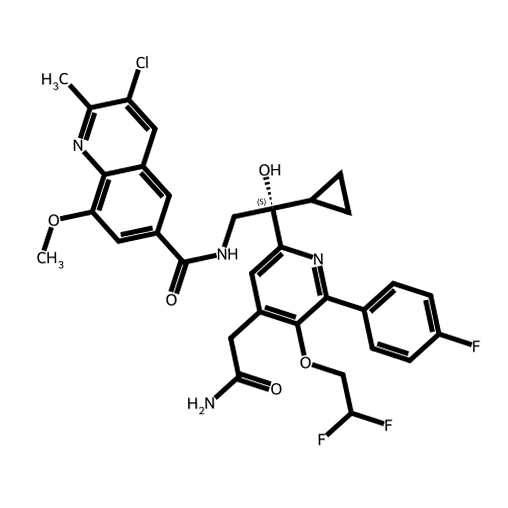 COc1cc(C(=O)NC[C@](O)(c2cc(CC(N)=O)c(OCC(F)F)c(-c3ccc(F)cc3)n2)C2CC2)cc2cc(Cl)c(C)nc12